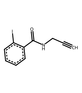 C#CCNC(=O)c1ccccc1I